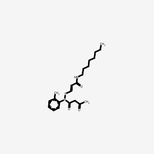 CCCCCCCCNC(=O)C=CSN(C(=O)CC(C)=O)c1ccccc1C